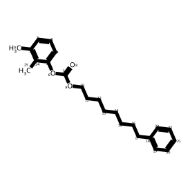 Cc1cccc(OC(=O)OCCCCCCCCc2ccccc2)c1C